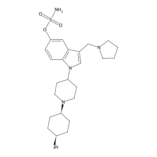 CC(C)[C@H]1CC[C@@H](N2CCC(n3cc(CN4CCCC4)c4cc(OS(N)(=O)=O)ccc43)CC2)CC1